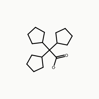 [O]C(=O)C(C1CCCC1)(C1CCCC1)C1CCCC1